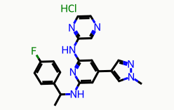 CC(Nc1cc(-c2cnn(C)c2)cc(Nc2cnccn2)n1)c1ccc(F)cc1.Cl